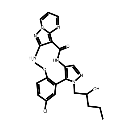 CCCC(O)Cn1ncc(NC(=O)c2c(N)nn3cccnc23)c1-c1cc(Cl)ccc1OC